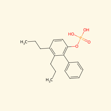 CCCc1ccc(OP(=O)(O)O)c(-c2ccccc2)c1CCC